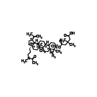 C=C(C)[C@@H]1CC[C@]2(CCCN(C)C(C)=O)CC[C@]3(C)[C@H](CC[C@@H]4[C@@]5(C)CC[C@H](OC(=O)CC(C)(C)CC(=O)O)C(C)(C)[C@@H]5CC[C@]43C)[C@@H]12